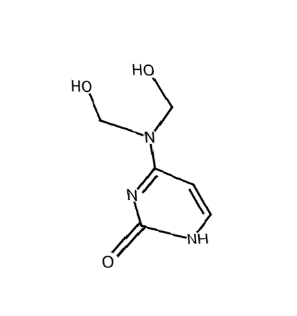 O=c1nc(N(CO)CO)cc[nH]1